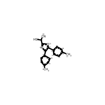 Cc1ccc(-c2nc(C(S)C#N)oc2-c2ccc(C)cc2)cc1